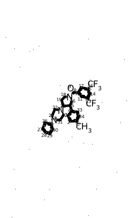 Cc1ccc(C2CN(C(=O)c3cc(C(F)(F)F)cc(C(F)(F)F)c3)CCC2N2CCN(c3ccccc3)CC2)cc1